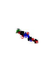 O=C(NCc1ccnc(OCC2CCOC2)c1)c1nc2ccc(OC(F)(F)F)cc2c(=O)[nH]1